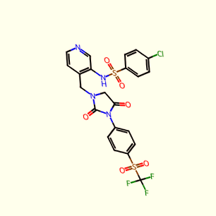 O=C1CN(Cc2ccncc2NS(=O)(=O)c2ccc(Cl)cc2)C(=O)N1c1ccc(S(=O)(=O)C(F)(F)F)cc1